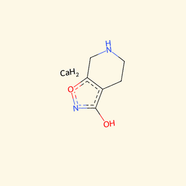 Oc1noc2c1CCNC2.[CaH2]